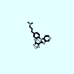 CN(C)CCCc1ccc(-n2c(-c3nonc3N)nc3cnccc32)cc1